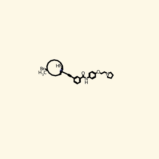 CC1(Br)CCCCCC2CCCC(CCC1)C/C(C#Cc1cccc(C(=O)Nc3ccc(OCCN4CCCC4)cc3)c1)=C\N2